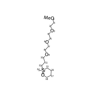 COCCOCCOCCOCCC[Si]1(C)CCCCO1